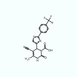 CC1=C(C#N)C(c2csc(-c3ccc(C(F)(F)F)cc3)n2)N(C(=O)O)C(=O)N1